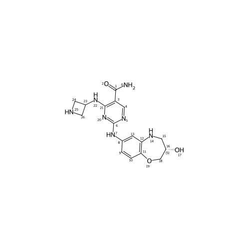 NC(=O)c1cnc(Nc2ccc3c(c2)NC[C@H](O)CO3)nc1NC1CNC1